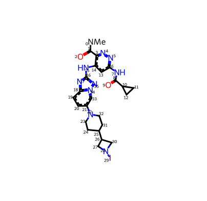 CNC(=O)c1nnc(NC(=O)C2CC2)cc1Nc1nc2ccc(N3CCC(C4CN(I)C4)CC3)cn2n1